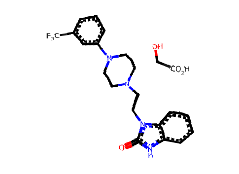 O=C(O)CO.O=c1[nH]c2ccccc2n1CCN1CCN(c2cccc(C(F)(F)F)c2)CC1